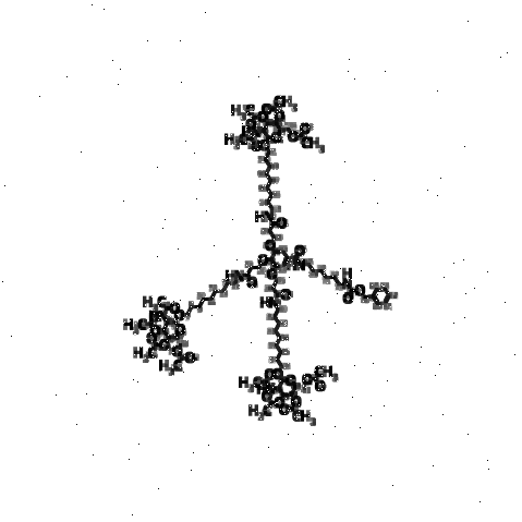 CC(=O)N[C@H]1[C@H](OCCCCCCCCCNC(=O)CCO[C@@H]2[C@H](OCCC(=O)NCCCCCCCCCO[C@@H]3O[C@H](COC(C)=O)[C@H](OC(C)=O)[C@H](OC(C)=O)[C@H]3NC(C)=O)C=C(C(=O)NCCCCCCNC(=O)OCc3ccccc3)C[C@H]2OCCC(=O)NCCCCCCCCCO[C@@H]2O[C@H](COC(C)=O)[C@H](OC(C)=O)[C@H](OC(C)=O)[C@H]2NC(C)=O)O[C@H](COC(C)=O)[C@H](OC(C)=O)[C@@H]1OC(C)=O